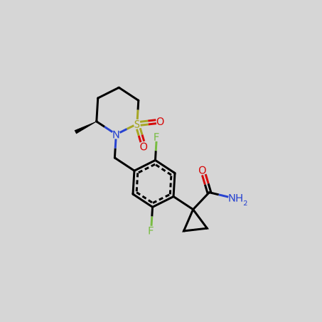 C[C@H]1CCCS(=O)(=O)N1Cc1cc(F)c(C2(C(N)=O)CC2)cc1F